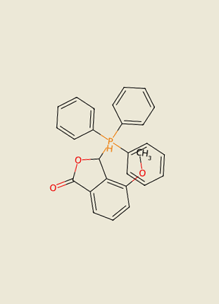 COc1cccc2c1C([PH](c1ccccc1)(c1ccccc1)c1ccccc1)OC2=O